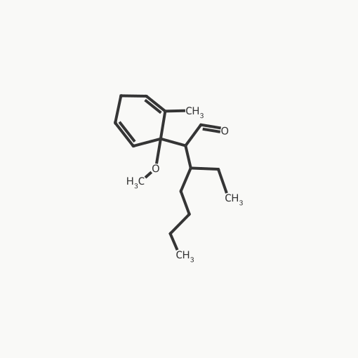 CCCCC(CC)C(C=O)C1(OC)C=CCC=C1C